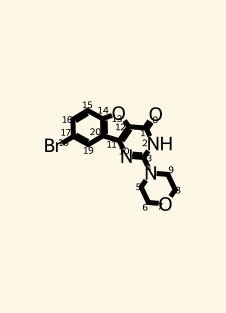 O=c1[nH]c(N2CCOCC2)nc2c1oc1ccc(Br)cc12